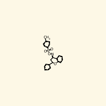 Cc1ccc(S(=O)(=O)ON=C2CC(c3ccccc3)Oc3ccccc32)cc1